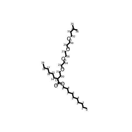 CCCCCCCCCCOC(=O)C(CCCCCC)CCOCCOCCOCCOCCC(C)C